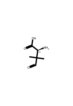 CC(C)(C=O)[C@H](N)C(=O)O